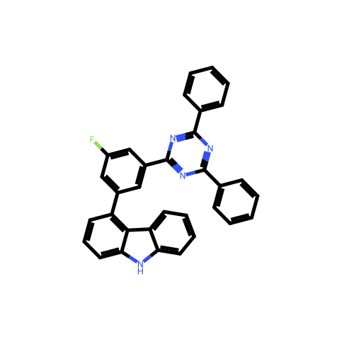 Fc1cc(-c2nc(-c3ccccc3)nc(-c3ccccc3)n2)cc(-c2cccc3[nH]c4ccccc4c23)c1